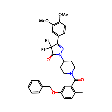 CCC1(CC)C(=O)N(C2CCN(C(=O)c3cc(OCc4ccccc4)ccc3C)CC2)N=C1c1ccc(OC)c(OC)c1